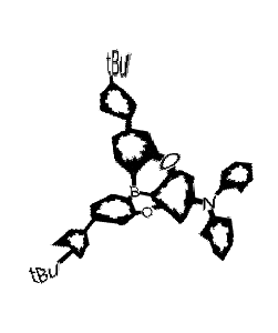 CC(C)(C)c1ccc(-c2ccc3c(c2)Oc2cc(N(c4ccccc4)c4ccccc4)cc4c2B3c2ccc(-c3ccc(C(C)(C)C)cc3)cc2O4)cc1